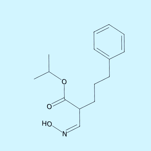 CC(C)OC(=O)C(/C=N\O)CCCc1ccccc1